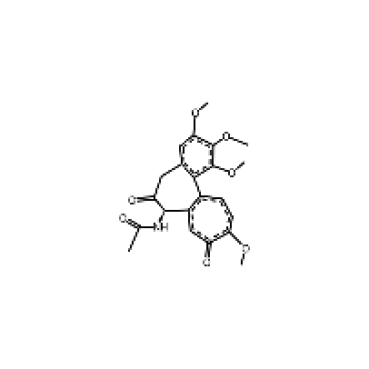 COc1cc2c(c(OC)c1OC)-c1ccc(OC)c(=O)cc1[C@@H](NC(C)=O)C(=O)C2